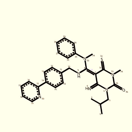 CC(C)CN1C(=N)/C(=C(\NCc2ccc(-c3ccccn3)cc2)N(C)c2ccccc2)C(=S)N(C)C1=O